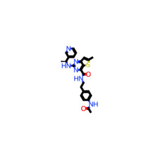 CC(=O)Nc1ccc(CCNC(=O)c2nc(N[C@@H](C)c3cccnc3)nc3cc(C)sc23)cc1